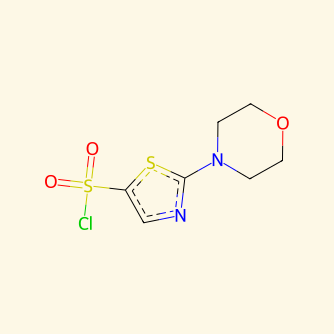 O=S(=O)(Cl)c1cnc(N2CCOCC2)s1